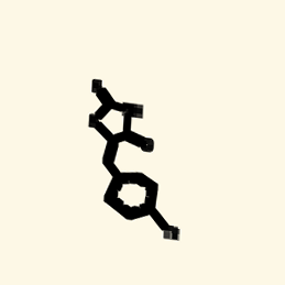 CCc1ccc(/C=C2/SC(=S)NC2=O)cc1